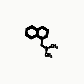 C[N+](C)Cc1cccc2ccccc12